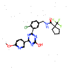 COc1ccc(-c2nc(O)nc(-c3cc(CNC(=O)C4(C(F)(F)F)CCCC4)ccc3Cl)n2)cn1